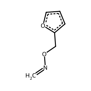 C=NOCc1ccco1